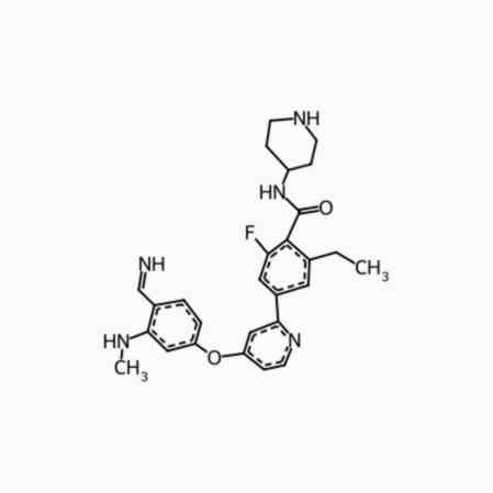 CCc1cc(-c2cc(Oc3ccc(C=N)c(NC)c3)ccn2)cc(F)c1C(=O)NC1CCNCC1